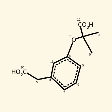 CC(C)(Oc1cccc(CC(=O)O)c1)C(=O)O